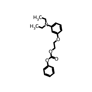 CCN(CC)c1cccc(OCCOC(=O)Oc2ccccc2)c1